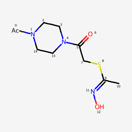 CC(=O)N1CCN(C(=O)CSC(C)=NO)CC1